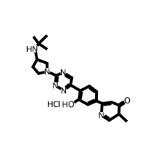 CC1C=NC(c2ccc(-c3cnc(N4CCC(NC(C)(C)C)C4)nn3)c(O)c2)=CC1=O.Cl